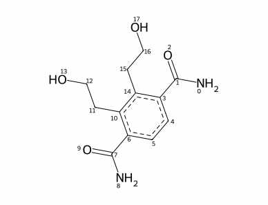 NC(=O)c1ccc(C(N)=O)c(CCO)c1CCO